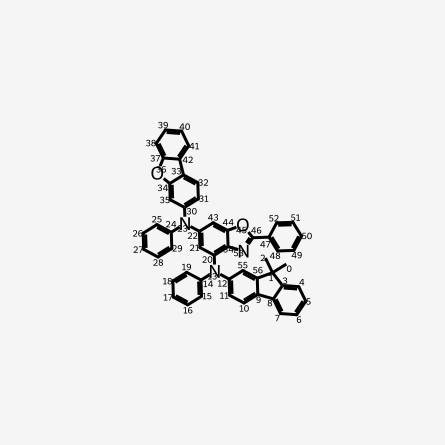 CC1(C)c2ccccc2-c2ccc(N(c3ccccc3)c3cc(N(c4ccccc4)c4ccc5c(c4)oc4ccccc45)cc4oc(-c5ccccc5)nc34)cc21